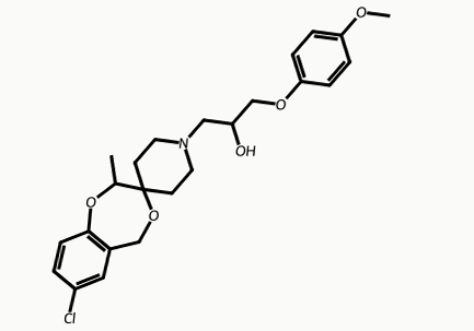 COc1ccc(OCC(O)CN2CCC3(CC2)OCc2cc(Cl)ccc2OC3C)cc1